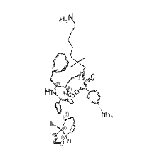 CC(C)(CCCCN)CN(C[C@@H](O)[C@H](Cc1ccccc1)NC(=O)O[C@@H]1CO[C@@H]2OCC[C@@H]21)S(=O)(=O)c1ccc(N)cc1